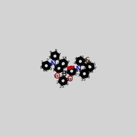 c1ccc(N(c2ccccc2)c2cc3c(c4ccccc24)B2c4c(cccc4Oc4cc(N(c5ccccc5)c5cccc6sc7ccccc7c56)c5ccccc5c42)O3)cc1